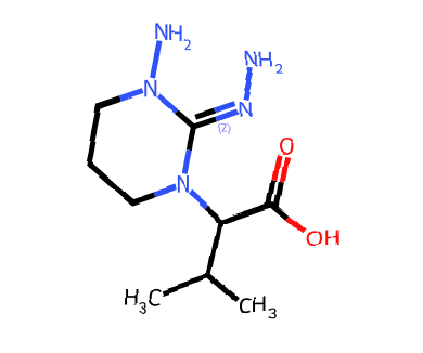 CC(C)C(C(=O)O)N1CCCN(N)/C1=N\N